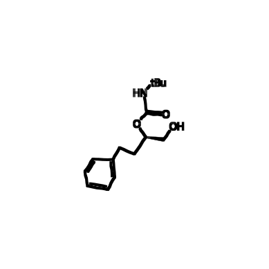 CC(C)(C)NC(=O)O[C@@H](CO)CCc1ccccc1